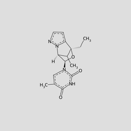 CC[C@]12O[C@@H](n3cc(C)c(=O)[nH]c3=O)[C@H](C1C)n1nccc12